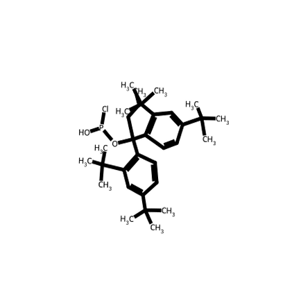 CCCC(OP(O)Cl)(c1ccc(C(C)(C)C)cc1C(C)(C)C)c1ccc(C(C)(C)C)cc1C(C)(C)C